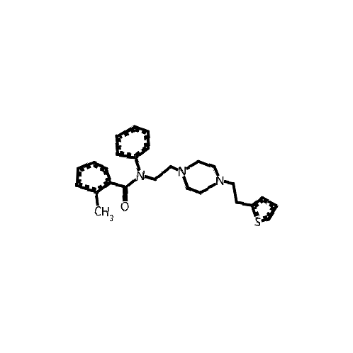 Cc1ccccc1C(=O)N(CCN1CCN(CCc2cccs2)CC1)c1ccccc1